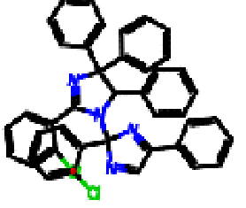 Clc1ccccc1C1=NC(c2ccccc2)(c2ccccc2)C(c2ccccc2)N1C1(c2ccccc2Cl)N=CC(c2ccccc2)=N1